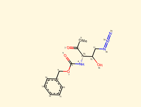 COC(=O)[C@@H](NC(=O)OCc1ccccc1)C(O)CN=[N+]=[N-]